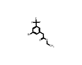 CCOC(=O)Cc1cc(Br)cc(C(F)(F)F)c1